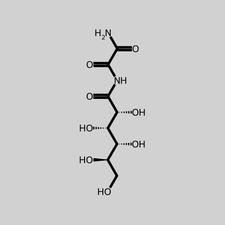 NC(=O)C(=O)NC(=O)[C@H](O)[C@@H](O)[C@H](O)[C@H](O)CO